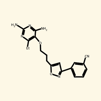 CCc1nc(N)nc(N)c1OCCCc1cc(-c2cccc(C#N)c2)no1